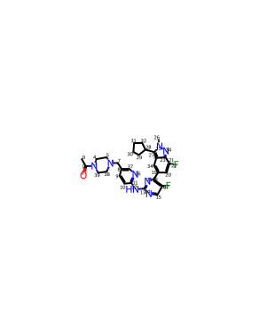 CC(=O)N1CCN(Cc2ccc(Nc3ncc(F)c(-c4cc(F)c5nn(C)c(C6CCCC6)c5c4)n3)nc2)CC1